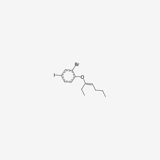 CCC/C=C(\CC)Oc1ccc(I)cc1Br